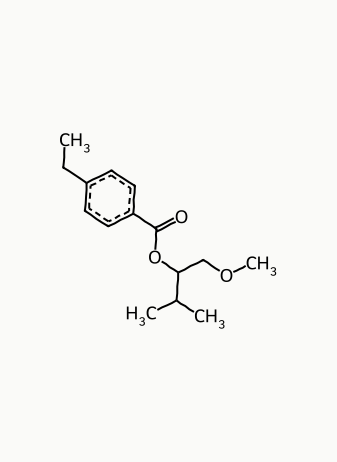 CCc1ccc(C(=O)OC(COC)C(C)C)cc1